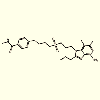 CCCc1nc2c(N)nc(C)c(C)c2n1CCCS(=O)(=O)CCCCc1ccc(C(=O)NC)cc1